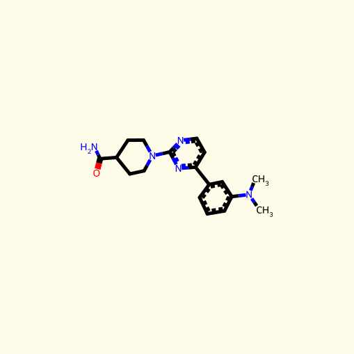 CN(C)c1cccc(-c2ccnc(N3CCC(C(N)=O)CC3)n2)c1